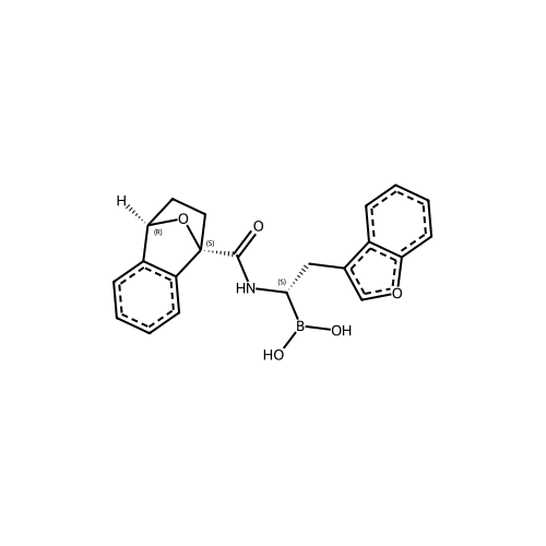 O=C(N[C@H](Cc1coc2ccccc12)B(O)O)[C@@]12CC[C@@H](O1)c1ccccc12